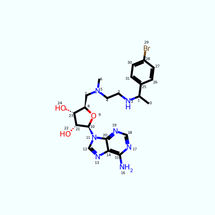 CC(NCCN(C)C[C@H]1O[C@@H](n2cnc3c(N)ncnc32)[C@H](O)[C@@H]1O)c1ccc(Br)cc1